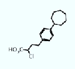 O=C(O)C(Cl)CCc1ccc(C2CCCCCC2)cc1